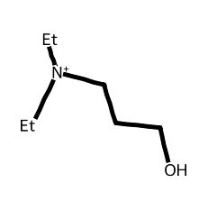 CC[N+](CC)CCCO